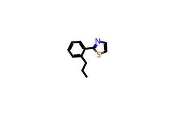 CCCc1ccccc1-c1nccs1